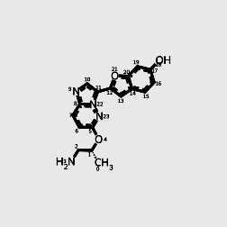 C[C@H](CN)Oc1ccc2ncc(-c3cc4ccc(O)cc4o3)n2n1